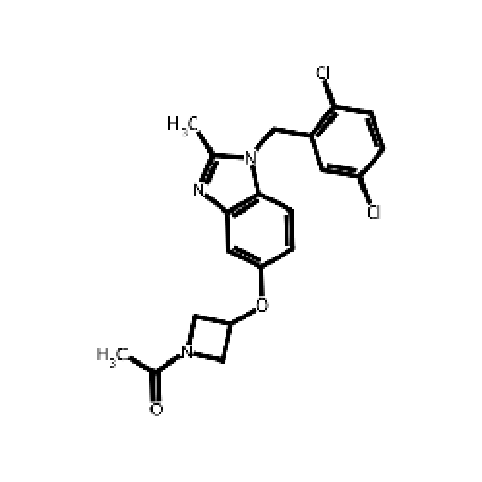 CC(=O)N1CC(Oc2ccc3c(c2)nc(C)n3Cc2cc(Cl)ccc2Cl)C1